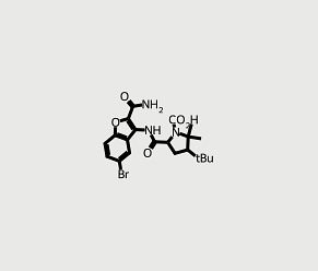 CC(C)(C)C1CC(C(=O)Nc2c(C(N)=O)oc3ccc(Br)cc23)N(C(=O)O)C1(C)C